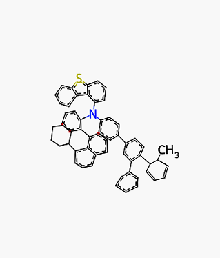 CC1C=CC=CC1c1ccc(-c2ccc(N(c3ccccc3-c3cccc4cccc(C5CCCCC5)c34)c3cccc4sc5ccccc5c34)cc2)cc1-c1ccccc1